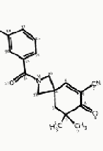 CC1(C)CC2(C=C(C#N)C1=O)CN(C(=O)c1cccc(F)c1)C2